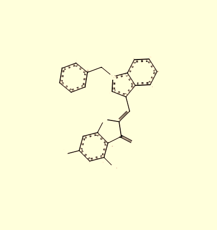 O=C1/C(=C/c2cn(Cc3ccccc3)c3ccccc23)Oc2cc(O)cc(O)c21